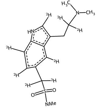 [2H]c1[nH]c2c([2H])c([2H])c(C([2H])([2H])S(=O)(=O)NC)c([2H])c2c1CC([2H])([2H])N(C)C